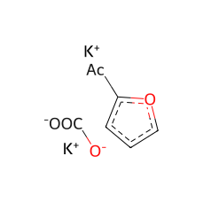 CC(=O)c1ccco1.O=C([O-])[O-].[K+].[K+]